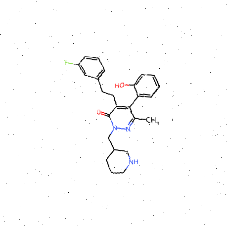 Cc1nn(CC2CCCNC2)c(=O)c(CCc2cccc(F)c2)c1-c1ccccc1O